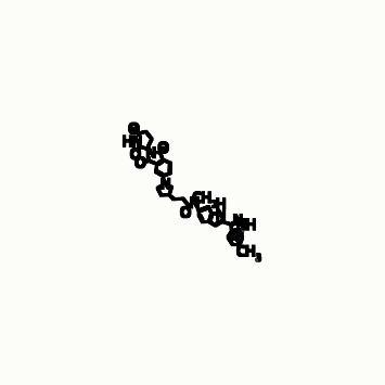 CN(C(=O)CC[C@H]1CCN(c2ccc3c(c2)C(=O)N(C2CCC(=O)NC2=O)C3=O)C1)c1ccc2cc(-c3n[nH]c4c3C3C[C@@](C)(C4)C3(F)F)[nH]c2c1